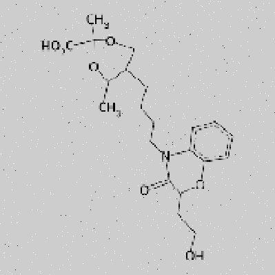 CC1OC(C)(C(=O)O)OCC1CCCCN1C(=O)C(CCO)Oc2ccccc21